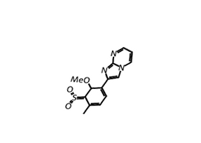 COC1C(c2cn3cccnc3n2)=CC=C(C)C1=S(=O)=O